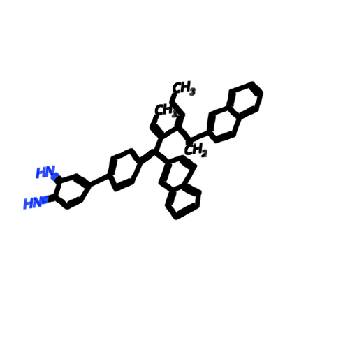 C=C(C(=C/CC)/C(=C\C)C(=C1/C=CC(C2=CC(=N)C(=N)C=C2)=CC1)/c1ccc2ccccc2c1)c1ccc2ccccc2c1